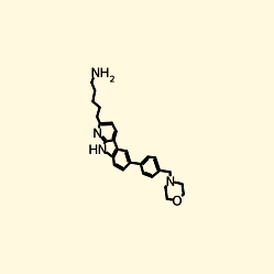 NCCCCCc1ccc2c(n1)[nH]c1ccc(-c3ccc(CN4CCOCC4)cc3)cc12